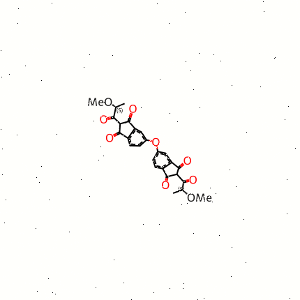 CO[C@@H](C)C(=O)C1C(=O)c2ccc(Oc3ccc4c(c3)C(=O)C(C(=O)[C@H](C)OC)C4=O)cc2C1=O